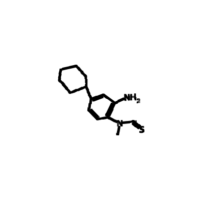 CN([C]=S)c1ccc(C2CCCCC2)cc1N